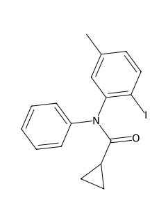 Cc1ccc(I)c(N(C(=O)C2CC2)c2ccccc2)c1